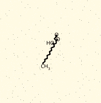 CCCCCCCCCCCC(O)CC1CC(=O)O1